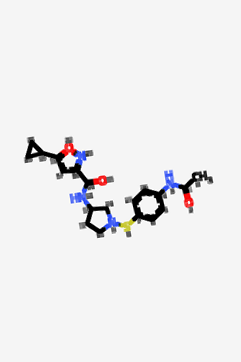 CC(=O)Nc1ccc(SN2CCC(NC(=O)c3cc(C4CC4)on3)C2)cc1